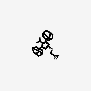 CC(C)c1c(C23CC4CC(CC(C4)C2)C3)cc(OCC2CO2)cc1C12CC3CC(CC(C3)C1)C2